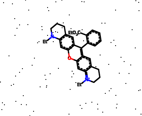 CCOC(=O)c1ccccc1C1=c2cc3c(cc2Oc2cc4c(cc21)CCCN4CC)=[N+](CC)CCC3